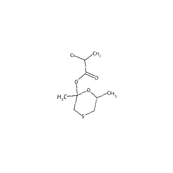 CC1CSCC(C)(OC(=O)C(C)Cl)O1